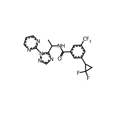 CC(NC(=O)c1cc(C2CC2(F)F)cc(C(F)(F)F)c1)c1ncnn1-c1ncccn1